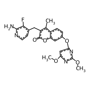 COc1cc(Oc2ccc3c(C)c(Cc4ccnc(N)c4F)c(=O)oc3c2)nc(OC)n1